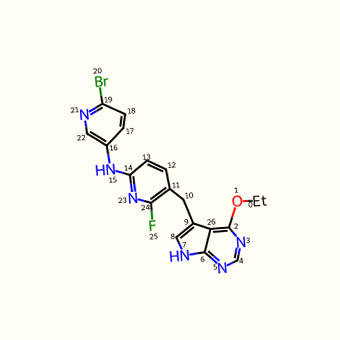 CCOc1ncnc2[nH]cc(Cc3ccc(Nc4ccc(Br)nc4)nc3F)c12